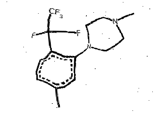 Cc1ccc(C(F)(F)C(F)(F)F)c(N2CCN(C)CC2)c1